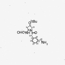 CC(C)(C)OC1CC(NC=O)N(C(=O)Cc2cccc(CN)c2)C1